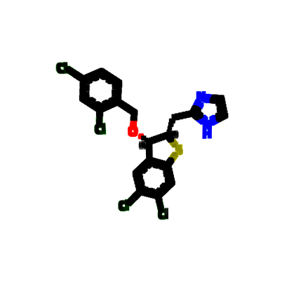 Clc1ccc(CO[C@H]2c3cc(Cl)c(Cl)cc3S[C@H]2Cc2ncc[nH]2)c(Cl)c1